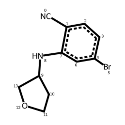 N#Cc1ccc(Br)cc1NC1CCOC1